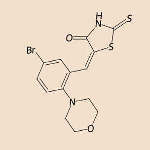 O=C1NC(=S)SC1=Cc1cc(Br)ccc1N1CCOCC1